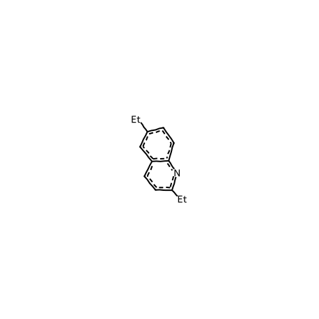 CCc1ccc2nc(CC)ccc2c1